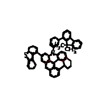 CC1(C)c2ccccc2-c2cccc(-c3cccc(N(c4cccc(-c5cccc6sc7ccccc7c56)c4)c4ccccc4-c4cccc5cccc(C6CCCCC6)c45)c3)c21